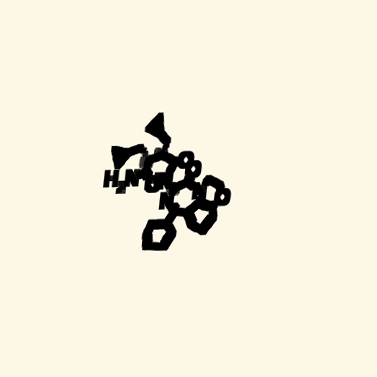 NC(=O)[C@H](CC1CC1)[C@H](CC1CC1)C(=O)N[C@H]1N=C(c2ccccc2)c2cccc3c2N(CCO3)C1=O